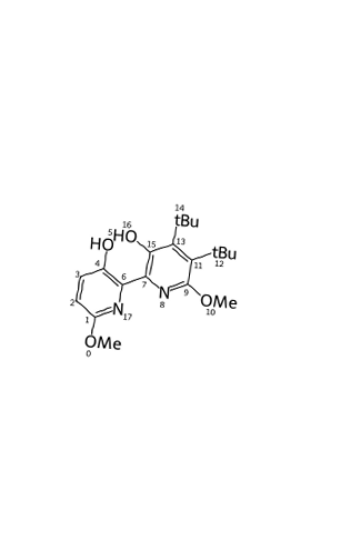 COc1ccc(O)c(-c2nc(OC)c(C(C)(C)C)c(C(C)(C)C)c2O)n1